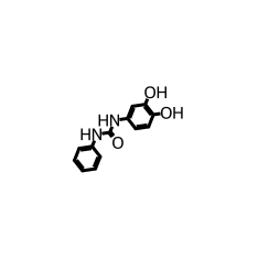 O=C(Nc1ccccc1)Nc1ccc(O)c(O)c1